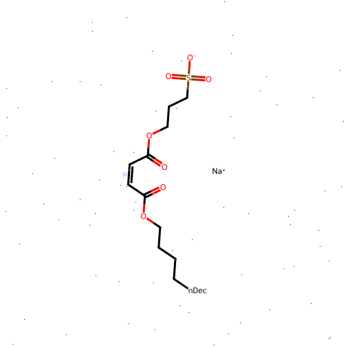 CCCCCCCCCCCCCCOC(=O)/C=C\C(=O)OCCCS(=O)(=O)[O-].[Na+]